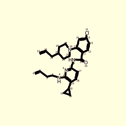 C=CCCNc1nc(NC(=O)c2ccc(Cl)cc2N2CCC(CC=C)CC2)ccc1C1CC1